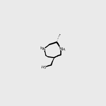 C[C@H]1CNC[C@H](CS)CN1